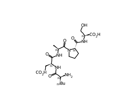 CC[C@H](C)[C@H](N)C(=O)N[C@@H](CC(=O)O)C(=O)N[C@@H](C)C(=O)N1CCC[C@H]1C(=O)N[C@@H](CO)C(=O)O